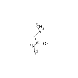 CCCC(=O)[N]Cl